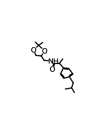 CC(C)Cc1ccc(C(C)C(=O)NCC2COC(C)(C)O2)cc1